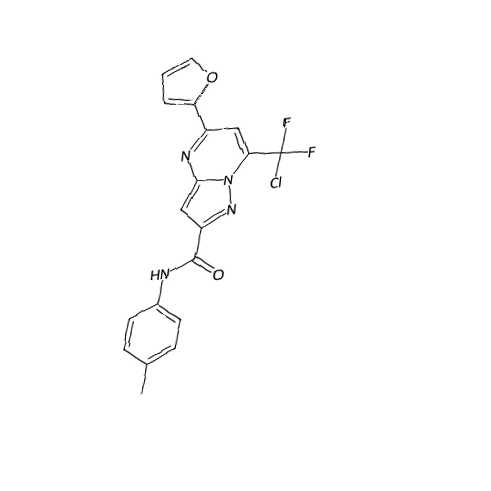 Cc1ccc(NC(=O)c2cc3nc(-c4ccco4)cc(C(F)(F)Cl)n3n2)cc1